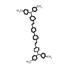 Cc1ccc(N(c2ccc(C)cc2)c2ccc(/C=C/c3ccc(-c4ccc(/C=C/C5=CCC(N(c6ccc(C)cc6)c6ccc(C)cc6)C=C5)cc4)cc3)cc2)cc1